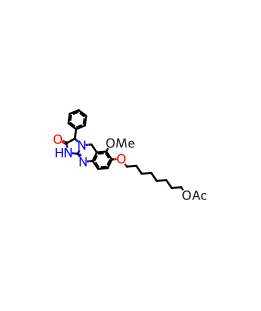 COc1c(OCCCCCCCCOC(C)=O)ccc2c1CN1C(=N2)NC(=O)C1c1ccccc1